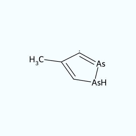 CC1=C[AsH][As]=[C]1